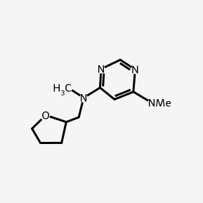 CNc1cc(N(C)CC2CCCO2)ncn1